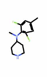 Cc1cc(F)c(N(C)C2CCNCC2)c(F)c1